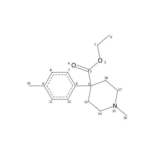 CCOC(=O)C1(c2ccc(C)cc2)CCN(C)CC1